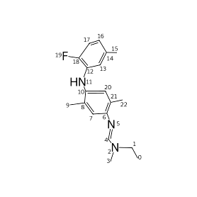 CCN(C)C=Nc1cc(C)c(Nc2cc(C)ccc2F)cc1C